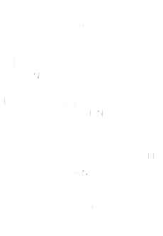 CCC(=O)N(CC)c1cc(Cl)cc(C(=O)NCC2C(=O)NC(C)CC2C)c1C